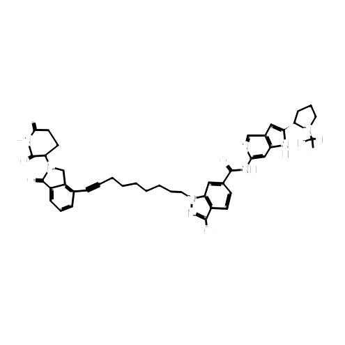 [2H]C([2H])([2H])N1CCC[C@@H]1c1cc2cnc(NC(=O)c3ccc4c(C)nn(CCCCCCCC#Cc5cccc6c5CN(C5CCC(=O)NC5=O)C6=O)c4c3)cc2[nH]1